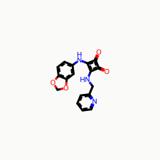 O=c1c(NCc2ccccn2)c(Nc2ccc3c(c2)OCO3)c1=O